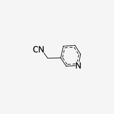 [C-]#[N+]Cc1cccnc1